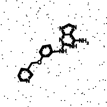 Nc1[nH]c(Nc2cccc(OCc3cccnc3)c2)nc2ncnc1-2